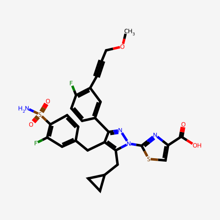 COCC#Cc1cc(-c2nn(-c3nc(C(=O)O)cs3)c(CC3CC3)c2Cc2ccc(S(N)(=O)=O)c(F)c2)ccc1F